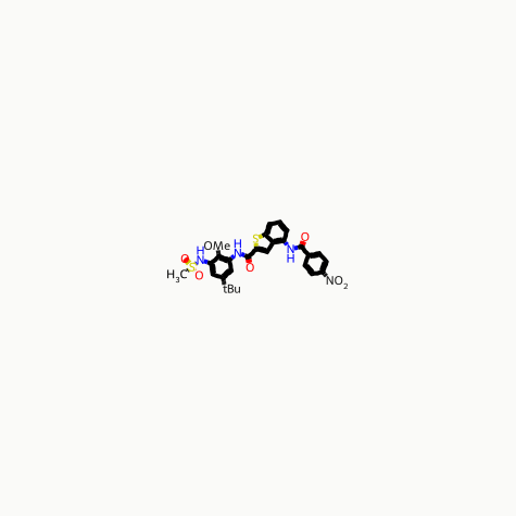 COc1c(NC(=O)c2cc3c(NC(=O)c4ccc([N+](=O)[O-])cc4)cccc3s2)cc(C(C)(C)C)cc1NS(C)(=O)=O